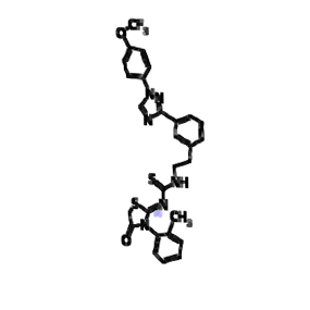 Cc1ccccc1N1C(=O)CS/C1=N\C(=S)NCCc1cccc(-c2ncn(-c3ccc(OC(F)(F)F)cc3)n2)c1